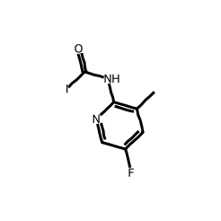 Cc1cc(F)cnc1NC(=O)I